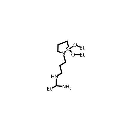 CCO[Si]1(OCC)CCCN1CCCNC(N)CC